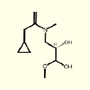 C=C(CC1CC1)N(C)C[C@H](O)C(O)OC